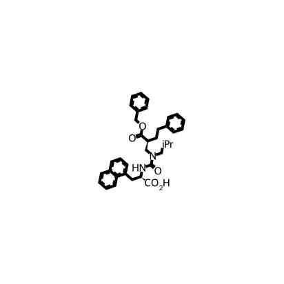 CC(C)CN(C[C@H](CCc1ccccc1)C(=O)OCc1ccccc1)C(=O)N[C@@H](Cc1cccc2ccccc12)C(=O)O